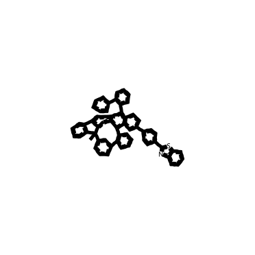 CC12c3cccc(c3)-c3ccccc3-c3c4cc(-c5ccc(-c6nc7ccccc7s6)cc5)ccc4c(-c4ccccc4-c4ccccc4)c4cc(c1cc34)-c1ccccc12